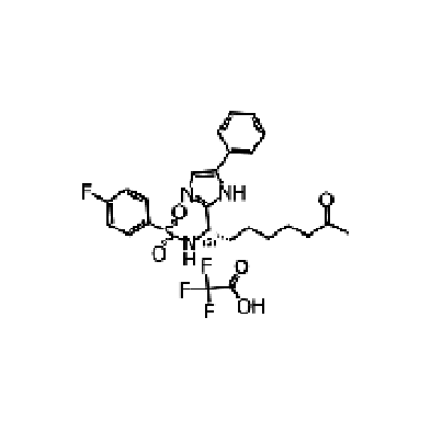 CC(=O)CCCCC[C@H](NS(=O)(=O)c1ccc(F)cc1)c1ncc(-c2ccccc2)[nH]1.O=C(O)C(F)(F)F